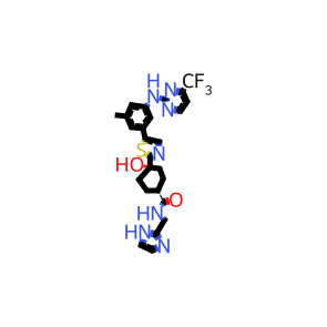 Cc1cc(Nc2nccc(C(F)(F)F)n2)cc(-c2cnc([C@]3(O)CC[C@H](C(=O)NCc4ncc[nH]4)CC3)s2)c1